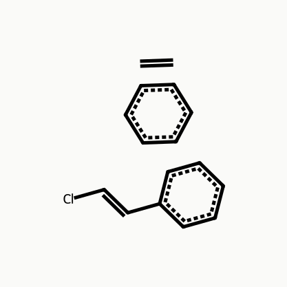 C=C.ClC=Cc1ccccc1.c1ccccc1